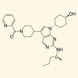 CCC[C@H](C)Nc1ncc2c(C3CCN(C(=O)c4ccccn4)CC3)cn([C@H]3CC[C@H](O)CC3)c2n1